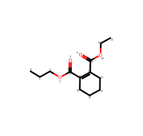 CCCOC(=O)C1=C(C(=O)OCC)CCCC1